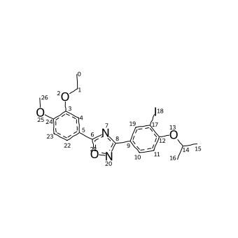 CCOc1cc(-c2nc(-c3ccc(OC(C)C)c(I)c3)no2)ccc1OC